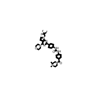 CC1CN(C(=O)c2ccc(NC(=O)Nc3ccc(-c4nc(N5CCOCC5)c5ccn(CC(F)(F)F)c5n4)cc3)cc2)CCN1C